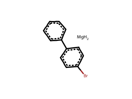 Brc1ccc(-c2ccccc2)cc1.[MgH2]